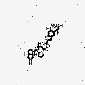 CC(C)(C)[C@H](NC(=O)c1cc2cc(C(F)(F)P(=O)(O)O)ccc2s1)C(=O)N1CCC[C@H]1C(=O)N1CC[C@@H]2CNC[C@@H]21